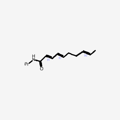 C/C=C/CC/C=C/C=C/C(=O)NC(C)C